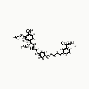 NC(=O)c1cccc(CCCCOc2ccc(CCNC[C@@H](O)c3ccc(O)c(CO)c3)cc2)c1